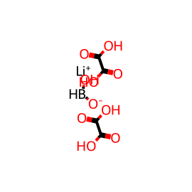 O=C(O)C(=O)O.O=C(O)C(=O)O.[Li+].[O-]BO